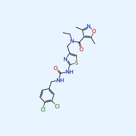 CCN(Cc1csc(NC(=O)NCc2ccc(Cl)c(Cl)c2)n1)C(=O)c1c(C)noc1C